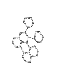 c1ccc(-c2cc3cccc4c5cccc6cccc(c(c2-c2ccccc2)c34)c65)cc1